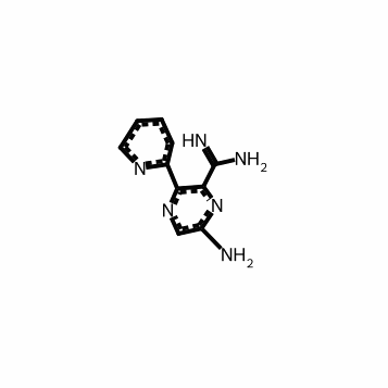 N=C(N)c1nc(N)cnc1-c1ccccn1